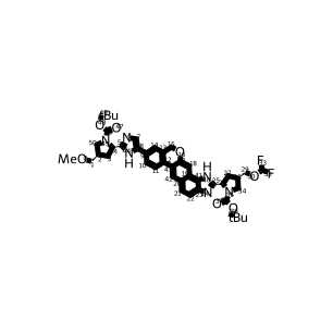 COC[C@H]1C[C@@H](c2ncc(-c3ccc4c(c3)COc3cc5c(ccc6nc([C@@H]7C[C@H](COC(F)F)CN7C(=O)OC(C)(C)C)[nH]c65)cc3-4)[nH]2)N(C(=O)OC(C)(C)C)C1